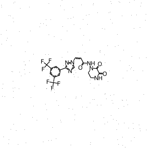 O=C(/C=C\n1cnc(-c2cc(C(F)(F)F)cc(C(F)(F)F)c2)n1)NN1CCNC(=O)C1=O